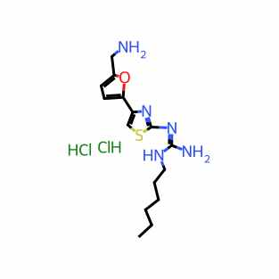 CCCCCCNC(N)=Nc1nc(-c2ccc(CN)o2)cs1.Cl.Cl